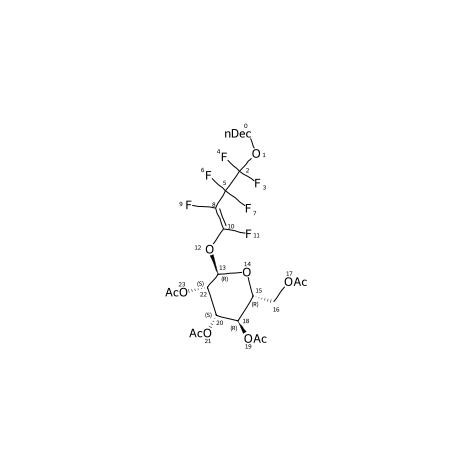 CCCCCCCCCCOC(F)(F)C(F)(F)C(F)=C(F)O[C@H]1O[C@H](COC(C)=O)[C@@H](OC(C)=O)[C@H](OC(C)=O)[C@@H]1OC(C)=O